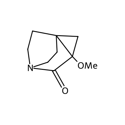 COC12CC13CCN(CC3)C2=O